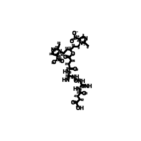 Cc1ncc([N+](=O)[O-])n1CCC(CCn1c([N+](=O)[O-])cnc1C)OC(=O)CCC(=O)NC(=N)NONC(=N)NC(=O)CCC(=O)O